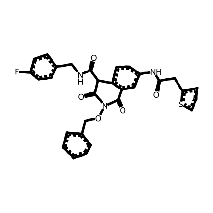 O=C(Cc1cccs1)Nc1ccc2c(c1)C(=O)N(OCc1ccccc1)C(=O)C2C(=O)NCc1ccc(F)cc1